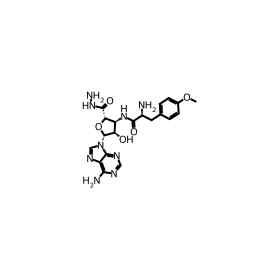 COc1ccc(C[C@H](N)C(=O)N[C@H]2[C@@H](O)[C@H](n3cnc4c(N)ncnc43)O[C@@H]2C(=O)NN)cc1